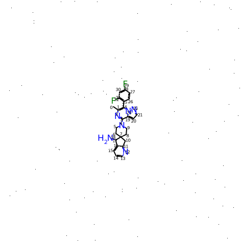 Cc1nc(N2CCC3(CC2)Cc2ncccc2[C@H]3N)c2ccnn2c1-c1ccc(F)cc1F